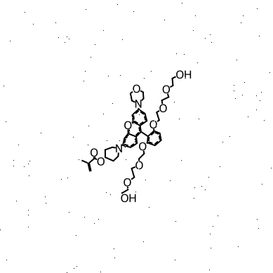 C=C(C)C(=O)OC1CC[N+](=c2ccc3c(-c4c(OCCOCCOCCO)cccc4OCCOCCOCCO)c4ccc(N5CCOCC5)cc4oc-3c2)CC1